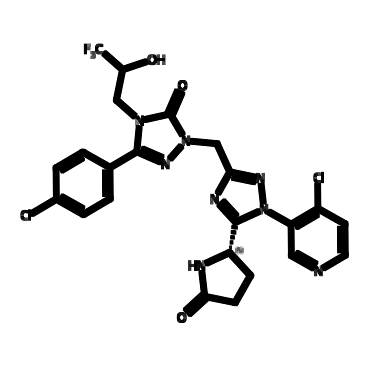 O=C1CC[C@@H](c2nc(Cn3nc(-c4ccc(Cl)cc4)n(CC(O)C(F)(F)F)c3=O)nn2-c2cnccc2Cl)N1